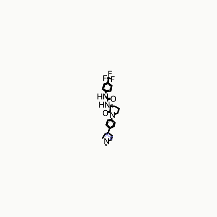 C=N/C=C\C(=C/C)c1ccc(N2CCC[C@@H](NC(=O)Nc3ccc(C(F)(F)F)cc3)C2=O)cc1